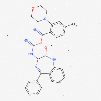 N=C(NC1N=C(c2ccccc2)c2ccccc2NC1=O)OC(=N)c1ccc(C(F)(F)F)cc1N1CCOCC1